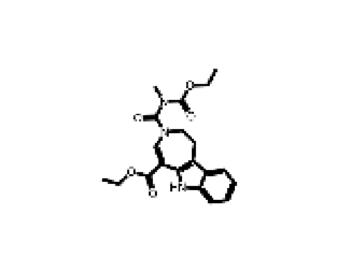 CCOC(=O)C1=CN(C(=O)N(C)C(=O)OCC)CCc2c1[nH]c1ccccc21